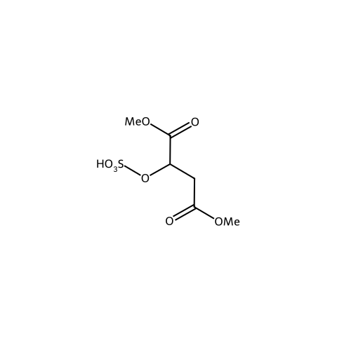 COC(=O)CC(OS(=O)(=O)O)C(=O)OC